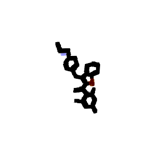 C=C(c1sc2ccccc2c1Cc1ccc(/C=C/C)cc1)c1c(C)cc(C)cc1C